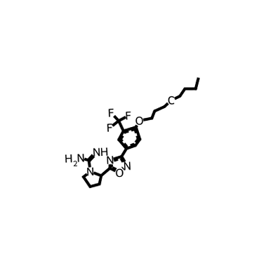 CCCCCCCCOc1ccc(-c2noc(C3CCCN3C(=N)N)n2)cc1C(F)(F)F